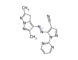 CC1=Nn2nc(C)c(/N=N/c3c(C#N)cnn3-c3ncccn3)c2C1